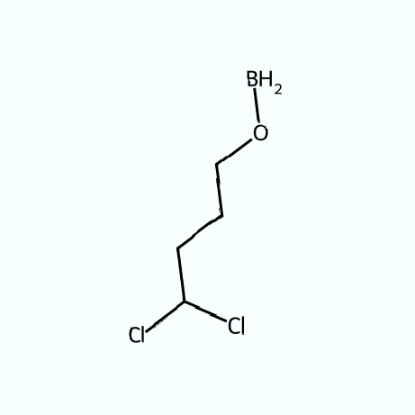 BOCCCC(Cl)Cl